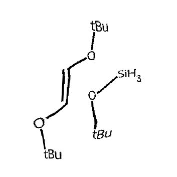 CC(C)(C)OC=COC(C)(C)C.CC(C)(C)O[SiH3]